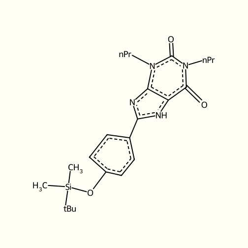 CCCn1c(=O)c2[nH]c(-c3ccc(O[Si](C)(C)C(C)(C)C)cc3)nc2n(CCC)c1=O